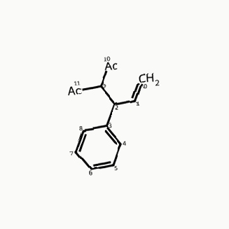 C=CC(c1ccccc1)C(C(C)=O)C(C)=O